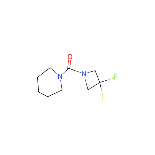 O=C(N1CCCCC1)N1CC(F)(F)C1